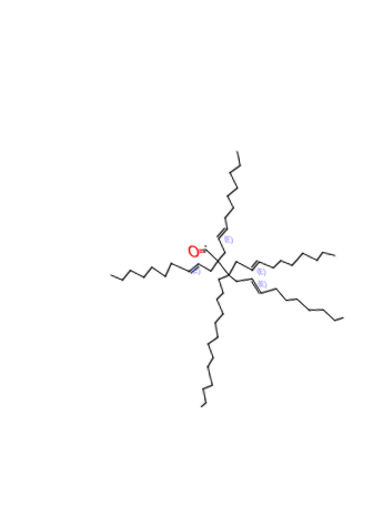 CCCCCCC/C=C/CC([C]=O)(C/C=C/CCCCCCC)C(C/C=C/CCCCCCC)(C/C=C/CCCCCCC)CCCCCCCCCCCCC